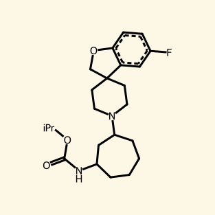 CC(C)OC(=O)NC1CCCCC(N2CCC3(CC2)COc2ccc(F)cc23)C1